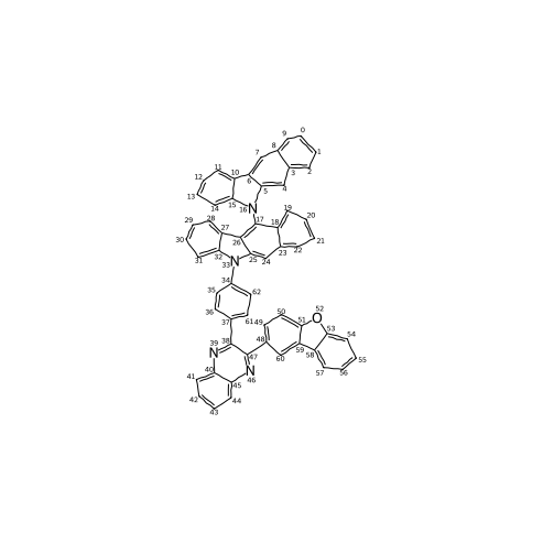 c1ccc2cc3c(cc2c1)c1ccccc1n3-c1c2ccccc2cc2c1c1ccccc1n2-c1ccc(-c2nc3ccccc3nc2-c2ccc3oc4ccccc4c3c2)cc1